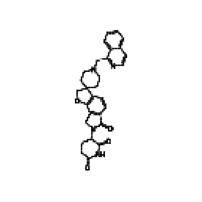 O=C1CCC(N2Cc3c(ccc4c3OCC43CCN(Cc4nccc5ccccc45)CC3)C2=O)C(=O)N1